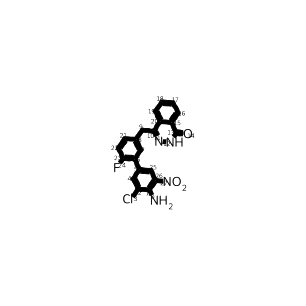 Nc1c(Cl)cc(-c2cc(Cc3n[nH]c(=O)c4ccccc34)ccc2F)cc1[N+](=O)[O-]